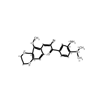 COc1c(/C=C(/Br)C(=O)c2ccc(N(C)C)c(N)c2)ccc2c1OCCO2